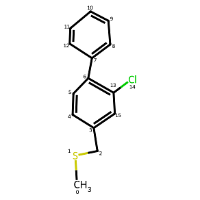 CSCc1ccc(-c2ccccc2)c(Cl)c1